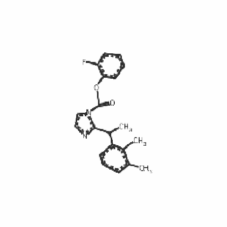 Cc1cccc(C(C)c2nccn2C(=O)Oc2ccccc2F)c1C